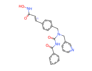 O=C(/C=C/c1ccc(CN(Cc2cccnc2)C(=O)NC(=O)c2ccccc2)cc1)NO